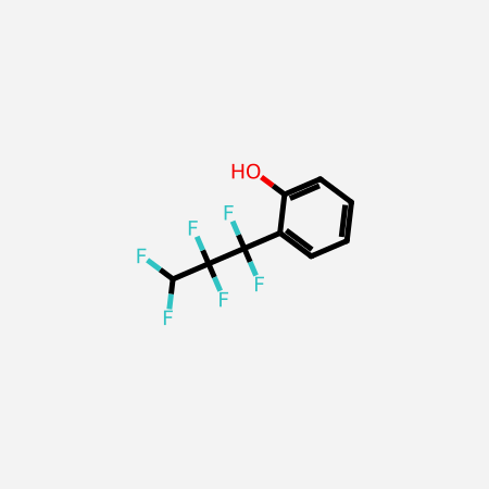 Oc1ccccc1C(F)(F)C(F)(F)C(F)F